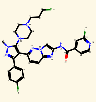 Cn1nc(-c2ccc(F)cc2)c(-c2ccc3nc(NC(=O)c4ccnc(F)c4)cn3n2)c1N1CCN(CCCF)CC1